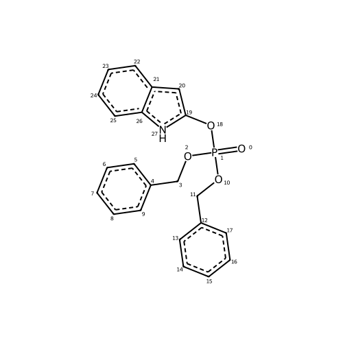 O=P(OCc1ccccc1)(OCc1ccccc1)Oc1cc2ccccc2[nH]1